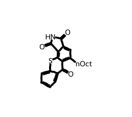 CCCCCCCCc1cc2c(c3sc4ccccc4c(=O)c13)C(=O)NC2=O